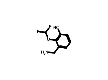 N#Cc1cccc(CN)c1OC(F)F